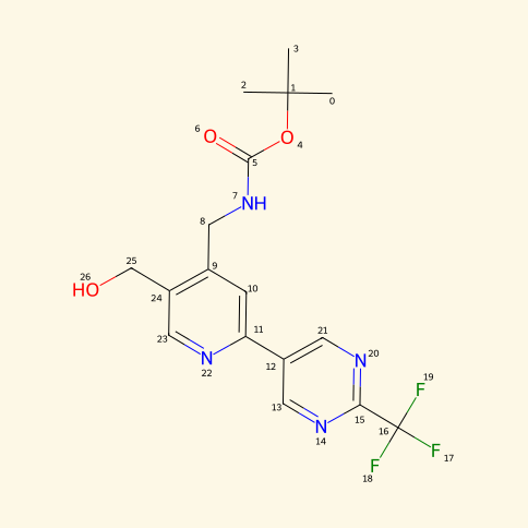 CC(C)(C)OC(=O)NCc1cc(-c2cnc(C(F)(F)F)nc2)ncc1CO